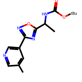 Cc1cncc(-c2noc(C(C)NC(=O)OC(C)(C)C)n2)c1